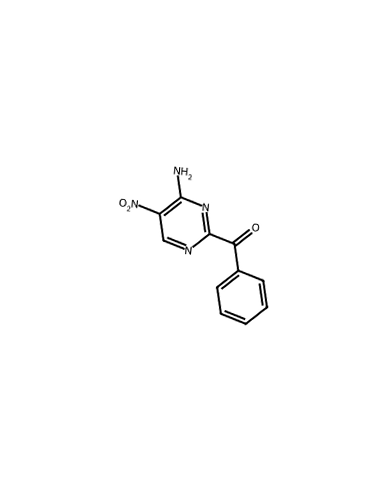 Nc1nc(C(=O)c2ccccc2)ncc1[N+](=O)[O-]